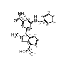 Cc1cc2c(B(O)O)cccc2n1-c1nc(NCc2ccccc2)nc(C(N)=O)n1